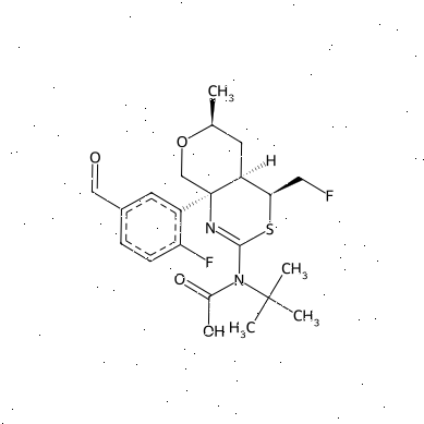 C[C@H]1C[C@H]2[C@@H](CF)SC(N(C(=O)O)C(C)(C)C)=N[C@@]2(c2cc(C=O)ccc2F)CO1